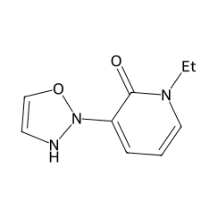 CCn1cccc(N2NC=CO2)c1=O